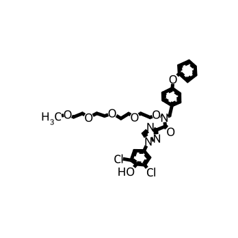 COCCOCCOCCOCCON(Cc1ccc(Oc2ccccc2)cc1)C(=O)c1ncn(-c2cc(Cl)c(O)c(Cl)c2)n1